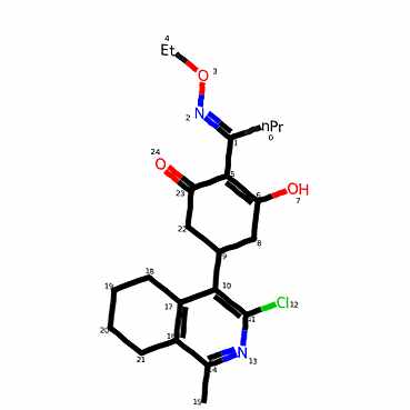 CCCC(=NOCC)C1=C(O)CC(c2c(Cl)nc(C)c3c2CCCC3)CC1=O